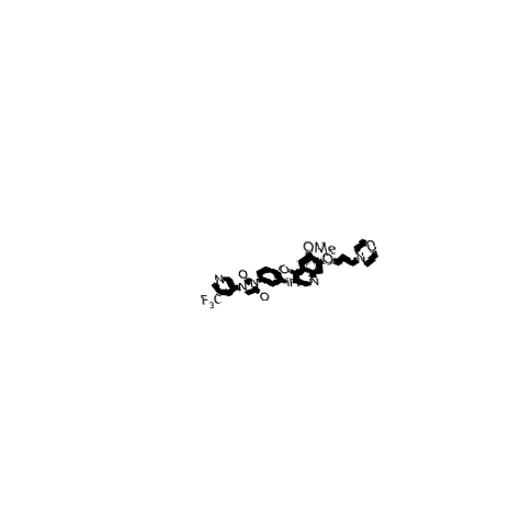 COc1cc2c(Oc3ccc(N4C(=O)CN(c5cncc(C(F)(F)F)c5)C4=O)cc3C(C)C)ccnc2cc1OCCCN1CCOCC1